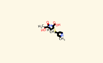 Cc1cc(CSC2=C(C(=O)O)N3C(=O)[C@H]([C@@H](C)O)[C@@H]3[C@H]2C)ccn1